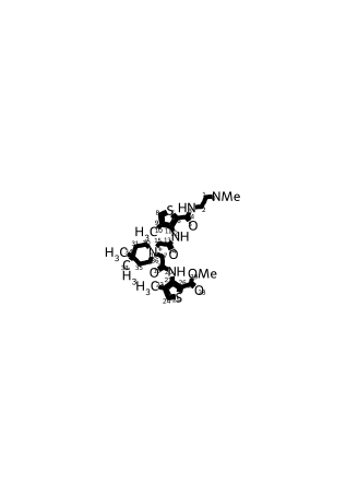 CNCCNC(=O)c1scc(C)c1NC(=O)C[N+]1(CC(=O)Nc2c(C)csc2C(=O)OC)CCC(C)(C)CC1